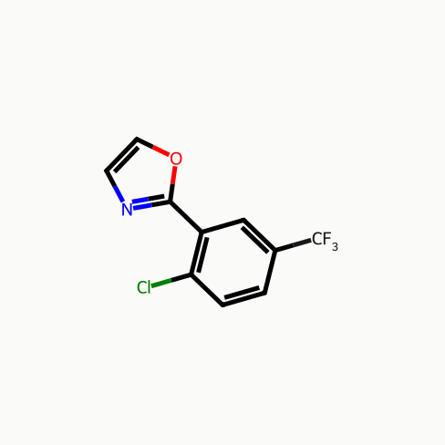 FC(F)(F)c1ccc(Cl)c(-c2ncco2)c1